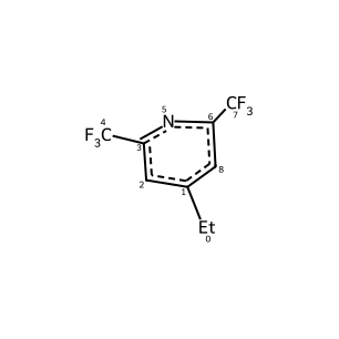 [CH2]Cc1cc(C(F)(F)F)nc(C(F)(F)F)c1